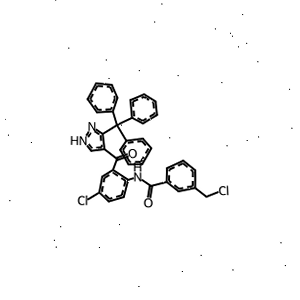 O=C(Nc1ccc(Cl)cc1C(=O)c1c[nH]nc1C(c1ccccc1)(c1ccccc1)c1ccccc1)c1cccc(CCl)c1